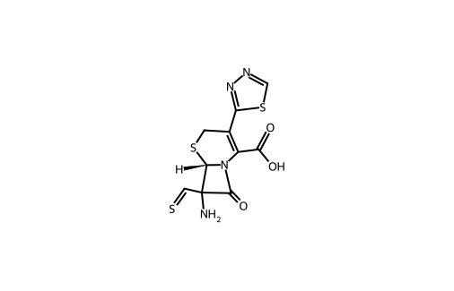 NC1(C=S)C(=O)N2C(C(=O)O)=C(c3nncs3)CS[C@H]21